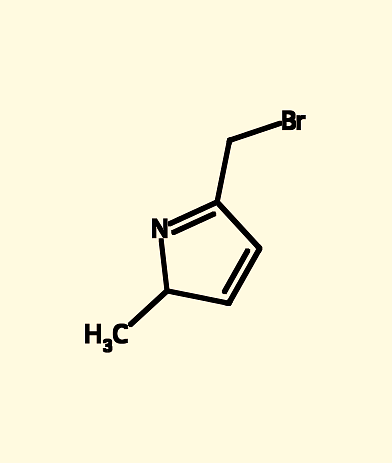 CC1C=CC(CBr)=N1